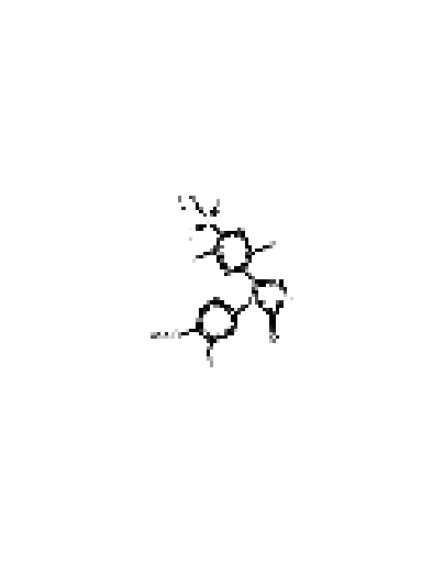 COc1ccc(-n2c(-c3cc(F)c(S(N)(=O)=O)cc3F)coc2=O)cc1Cl